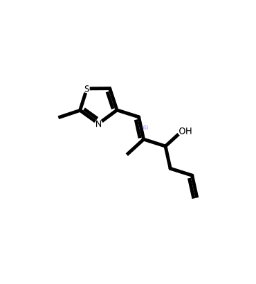 C=CCC(O)/C(C)=C/c1csc(C)n1